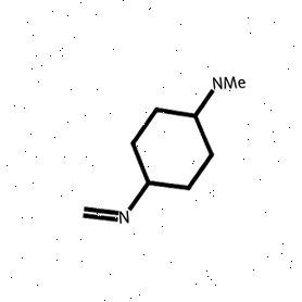 C=NC1CCC(NC)CC1